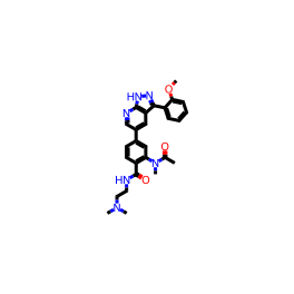 COc1ccccc1-c1n[nH]c2ncc(-c3ccc(C(=O)NCCN(C)C)c(N(C)C(C)=O)c3)cc12